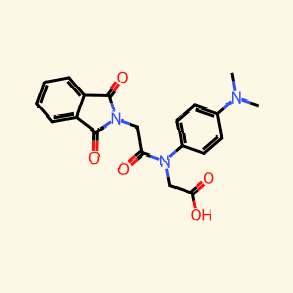 CN(C)c1ccc(N(CC(=O)O)C(=O)CN2C(=O)c3ccccc3C2=O)cc1